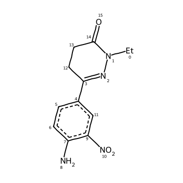 CCN1N=C(c2ccc(N)c([N+](=O)[O-])c2)CCC1=O